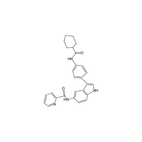 O=C(Nc1ccc2[nH]cc(-c3ccc(NC(=O)C4CCCCC4)cc3)c2c1)c1ccccn1